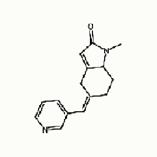 CN1C(=O)C=C2CC(=Cc3cccnc3)CCC21